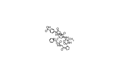 CC(C)C[C@H](NC(=O)[C@H](C)NC(=O)[C@@H]1CCCN1C(=O)CNC(=O)OCc1ccccc1)C(=O)NCC(=O)Nc1ccc(C(=O)O)cc1